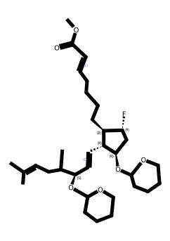 COC(=O)/C=C/CCCC[C@@H]1[C@@H](/C=C/[C@@H](OC2CCCCO2)C(C)CC=C(C)C)[C@H](OC2CCCCO2)C[C@H]1F